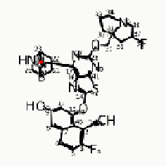 C#Cc1c(F)ccc2cc(O)cc(Oc3nc4c(N5CB6CCC(C5)NC6)nc(OC[C@@]56CCCN5CC(F)C6)nc4s3)c12